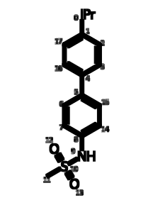 CC(C)c1ccc(-c2ccc(NS(C)(=O)=O)cc2)cc1